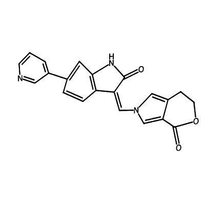 O=C1Nc2cc(-c3cccnc3)ccc2C1=Cn1cc2c(c1)C(=O)OCC2